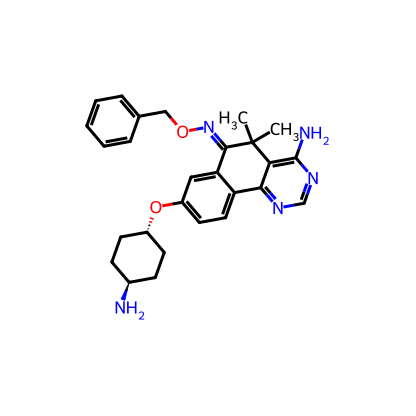 CC1(C)/C(=N/OCc2ccccc2)c2cc(O[C@H]3CC[C@H](N)CC3)ccc2-c2ncnc(N)c21